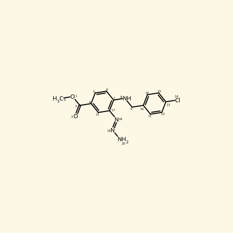 COC(=O)c1ccc(NCc2ccc(Cl)cc2)c(N=NN)c1